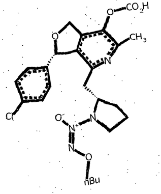 CCCCO/N=[N+](/[O-])N1CCC[C@H]1Cc1nc(C)c(OC(=O)O)c2c1[C@H](c1ccc(Cl)cc1)OC2